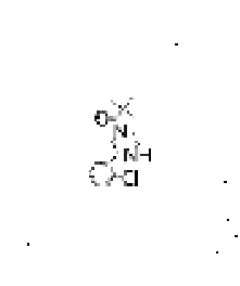 CCC(C)(C)C(=O)N1CCNC(c2ccccc2Cl)C1